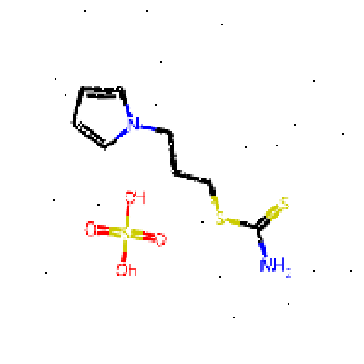 NC(=S)SCCCn1cccc1.O=S(=O)(O)O